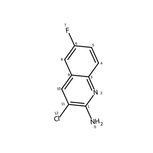 Nc1nc2ccc(F)cc2cc1Cl